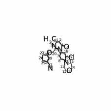 Cc1cc(=O)n(-c2ccc(N3CCOCC3)c(Cl)c2)c(COc2cccc(C#N)c2)n1